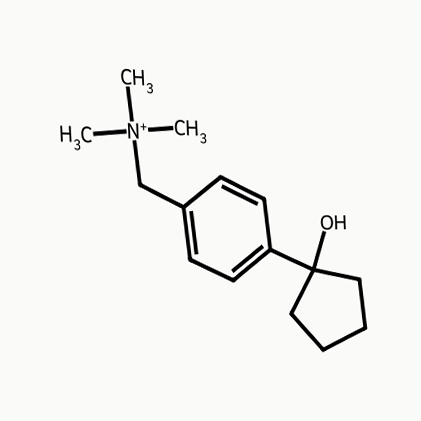 C[N+](C)(C)Cc1ccc(C2(O)CCCC2)cc1